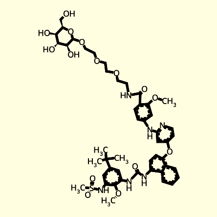 COc1cc(Nc2cc(Oc3ccc(NC(=O)Nc4cc(C(C)(C)C)cc(NS(C)(=O)=O)c4OC)c4ccccc34)ccn2)ccc1C(=O)NCCOCCOCCOC1O[C@H](CO)[C@H](O)[C@@H](O)[C@@H]1O